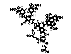 Cc1c(C#N)c(Nc2ccc(Cl)c(S(=O)(=O)O)c2)nc(Nc2ccc(Cl)c(S(=O)(=O)O)c2)c1N=Nc1sc(N=Nc2cc(S(=O)(=O)O)c3cc(S(=O)(=O)O)cc(S(=O)(=O)O)c3c2)c(-c2ccc(Nc3nc(NCCC(=O)O)nc(NCCC(=O)O)n3)cc2)c1C#N